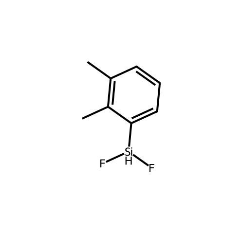 Cc1cccc([SiH](F)F)c1C